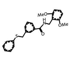 COc1cccc(OC)c1CNC(=O)c1cccc(CSc2[c]cccc2)c1